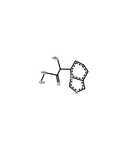 CCCCC(C(=O)NO)c1cccc2cncn12